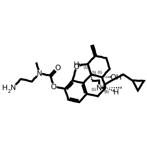 C=C1CC[C@@]2(O)[C@H]3Cc4ccc(OC(=O)N(C)CCN)c5c4[C@@]2(CC[N@@+]3(C)CC2CC2)[C@H]1O5